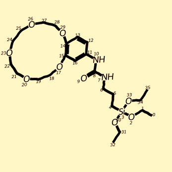 CCO[Si](CCCNC(=O)Nc1ccc2c(c1)OCCOCCOCCOCCO2)(OCC)OCC